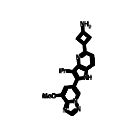 COc1cc(-c2[nH]c3ccc(C4CC(N)C4)nc3c2C(C)C)cn2ncnc12